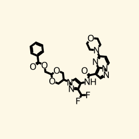 O=C(OCC1OCC(n2cc(NC(=O)c3cnn4ccc(N5CCOCC5)nc34)c(C(F)F)n2)CO1)c1ccccc1